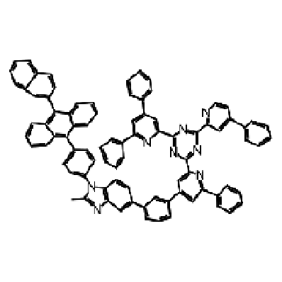 Cc1nc2cc(-c3cccc(-c4cc(-c5ccccc5)nc(-c5nc(-c6cc(-c7ccccc7)ccn6)nc(-c6cc(-c7ccccc7)cc(-c7ccccc7)n6)n5)c4)c3)ccc2n1-c1ccc(-c2c3ccccc3c(-c3ccc4ccccc4c3)c3ccccc23)cc1